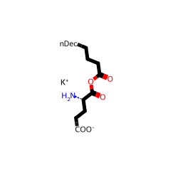 CCCCCCCCCCCCCC(=O)OC(=O)[C@@H](N)CCC(=O)[O-].[K+]